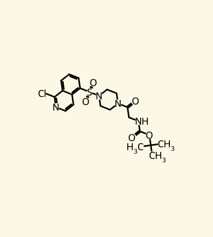 CC(C)(C)OC(=O)NCC(=O)N1CCN(S(=O)(=O)c2cccc3c(Cl)nccc23)CC1